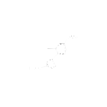 COc1ccc(-c2ccc(C(=O)O)s2)c(C)c1